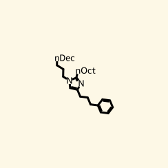 CCCCCCCCCCCCCn1cc(CCCc2ccccc2)nc1CCCCCCCC